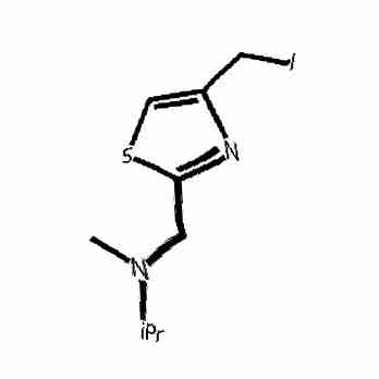 CC(C)N(C)Cc1nc(CI)cs1